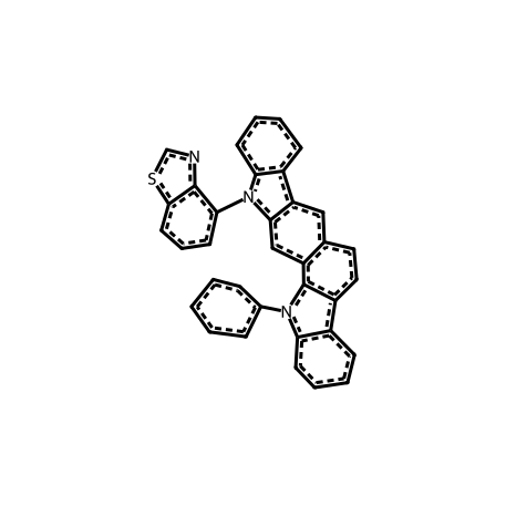 c1ccc(-n2c3ccccc3c3ccc4cc5c6ccccc6n(-c6cccc7scnc67)c5cc4c32)cc1